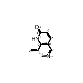 C=Cc1[nH]c(=O)ccc1/C=N\C